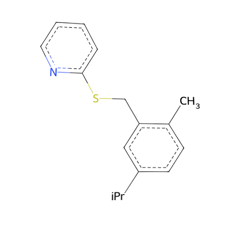 Cc1ccc(C(C)C)cc1CSc1ccccn1